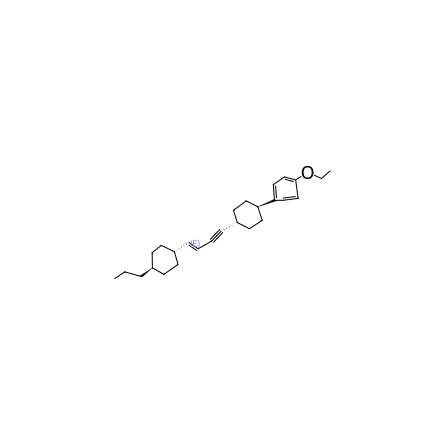 CCC[C@H]1CC[C@H](/C=C/C#C[C@H]2CC[C@H](c3ccc(OCC)cc3)CC2)CC1